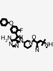 CNC(C)(C)C=C(C#N)C(=O)N1CCC[C@@H](n2nc(-c3ccc(Oc4ccccc4)cc3F)c3c(N)ncnc32)C1